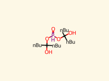 CCCCC(O)(CCCC)O[PH](=O)OC(O)(CCCC)CCCC